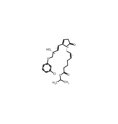 CC(C)OC(=O)CCC/C=C\C[C@H]1C(=O)CC=C1/C=C/[C@@H](O)COc1cccc(Cl)c1